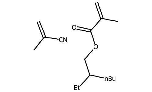 C=C(C)C#N.C=C(C)C(=O)OCC(CC)CCCC